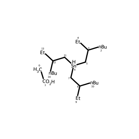 CC(=O)O.CCCCC(CC)[CH2][SnH]([CH2]C(CC)CCCC)[CH2]C(CC)CCCC